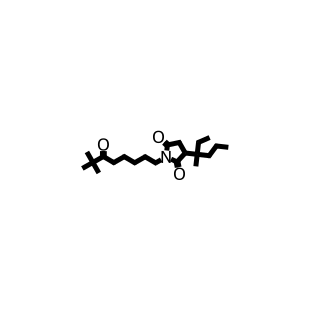 CCCC(C)(CC)C1CC(=O)N(CCCCCC(=O)C(C)(C)C)C1=O